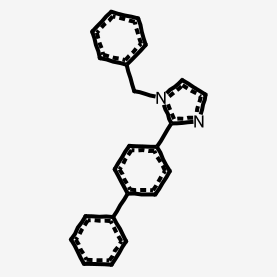 c1ccc(Cn2ccnc2-c2ccc(-c3ccccc3)cc2)cc1